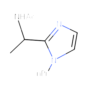 CCCn1c[c]nc1C(C)NC(C)=O